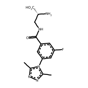 Cc1nnc(C)n1-c1cc(F)cc(C(=O)NC[C@@H](N)C(=O)O)c1